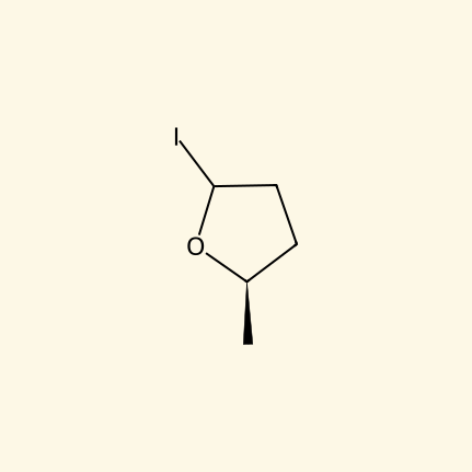 C[C@@H]1CCC(I)O1